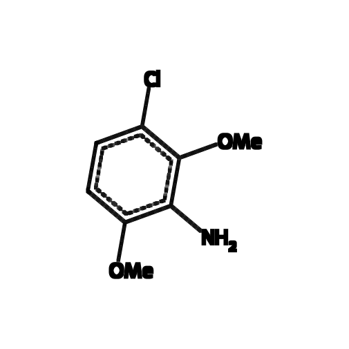 COc1ccc(Cl)c(OC)c1N